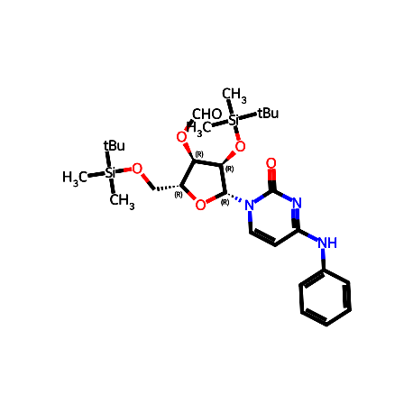 CC(C)(C)[Si](C)(C)OC[C@H]1O[C@@H](n2ccc(Nc3ccccc3)nc2=O)[C@H](O[Si](C)(C)C(C)(C)C)[C@@H]1OC=O